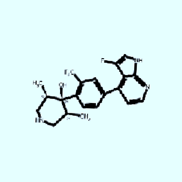 C[C@@H]1CNC[C@H](C)[C@@]1(O)c1ccc(-c2ccnc3[nH]cc(F)c23)cc1C(F)(F)F